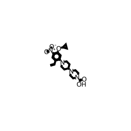 C=Cc1cc([N+](=O)[O-])c(OC2CC2)cc1N1CCC(N2CCN(C(=O)O)CC2)CC1